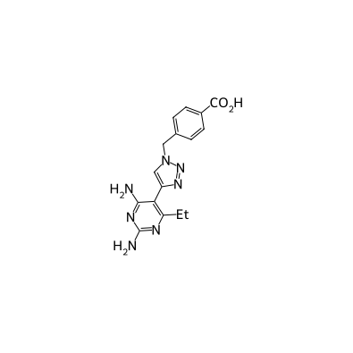 CCc1nc(N)nc(N)c1-c1cn(Cc2ccc(C(=O)O)cc2)nn1